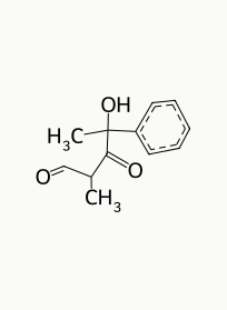 CC(C=O)C(=O)C(C)(O)c1ccccc1